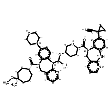 CO[C@]1(C)CCC[C@@H](C(=O)N2Cc3cccnc3N(C(C)O[C@H]3CC[C@H](C(=O)N4Cc5cccnc5Nc5ccc(C6(C#N)CC6)cc54)OC3)c3ccc(N4CCOCC4)cc32)CC1